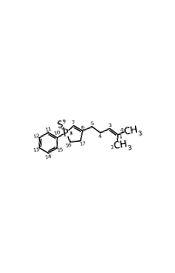 CC(C)=CCCC1=CP(=S)(c2ccccc2)CC1